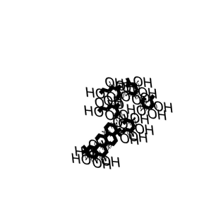 CC1O[C@@H](O[C@H]2C(O)[C@@H](O)C(C)O[C@H]2O[C@H]2C(O)[C@@H](O)C(CO)O[C@H]2OC2[C@H](O)C(C(=O)O)O[C@@H](O[C@H]3CC[C@@]4(C)C(CC[C@]5(C)C4CC[C@]46O[C@H](O)[C@]7(C4CC(C)(C)[C@@H](O)[C@@H]7O)[C@H](O)C[C@]65C)C3(C)C)[C@H]2O[C@@H]2OC(CO)[C@H](O)C(O)[C@@H]2O)[C@@H](O)C(O)[C@H]1O